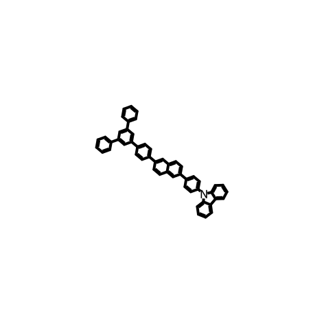 c1ccc(-c2cc(-c3ccccc3)cc(-c3ccc(-c4ccc5cc(-c6ccc(-n7c8ccccc8c8ccccc87)cc6)ccc5c4)cc3)c2)cc1